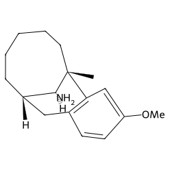 COc1ccc2c(c1)[C@@]1(C)CCCCC[C@@H](C2)[C@@H]1N